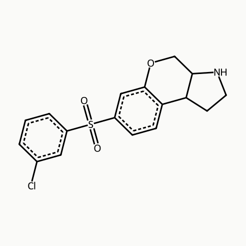 O=S(=O)(c1cccc(Cl)c1)c1ccc2c(c1)OCC1NCCC21